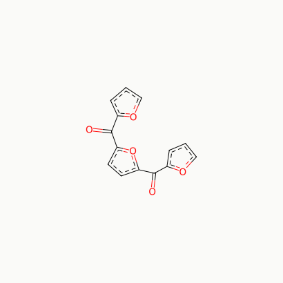 O=C(c1ccco1)c1ccc(C(=O)c2ccco2)o1